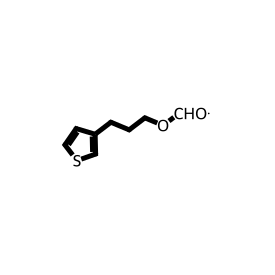 O=[C]OCCCc1ccsc1